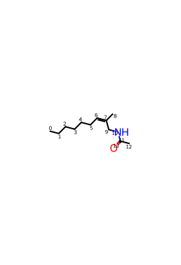 CCCCCC/C=C(/C)CNC(C)=O